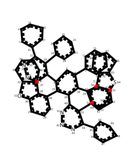 c1ccc(-c2cc(-c3nnnc(-c4ccccc4)c3-c3ccccc3)c(-c3cccc4oc5ccccc5c34)c(-c3nnnc(-c4ccccc4)c3-c3ccccc3)c2-c2cccc3sc4ccccc4c23)cc1